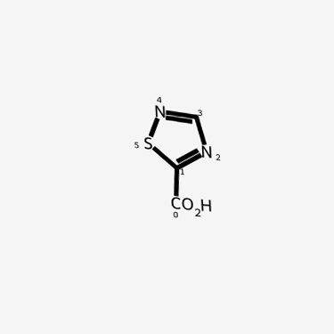 O=C(O)c1ncns1